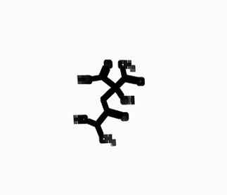 CC(=O)C(O)(CC(=O)C(C)O)C(=O)O